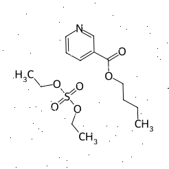 CCCCOC(=O)c1cccnc1.CCOS(=O)(=O)OCC